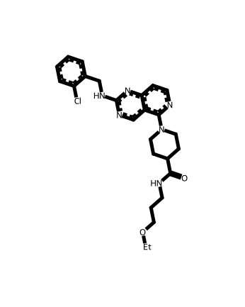 CCOCCCNC(=O)C1CCN(c2nccc3nc(NCc4ccccc4Cl)ncc23)CC1